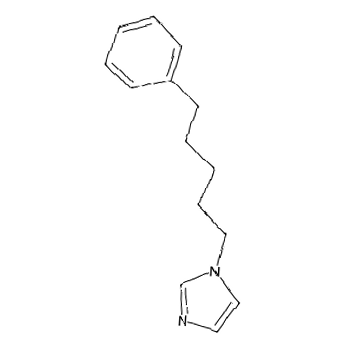 c1ccc(CCCCCn2ccnc2)cc1